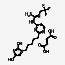 NC(=NCC(F)(F)F)Nc1ccnc(CCCCCn2cc(O)nc2O)n1.O=C(O)C=CC(=O)O